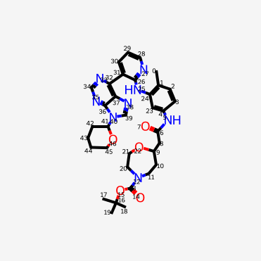 Cc1ccc(NC(=O)CC2CCN(C(=O)OC(C)(C)C)CCO2)cc1Nc1ncccc1-c1ncnc2c1ncn2C1CCCCO1